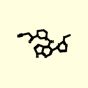 CSc1nccc(-c2cnc3[nH]ccc3c2N[C@@H]2CCCN(C(=O)CC#N)C2)n1